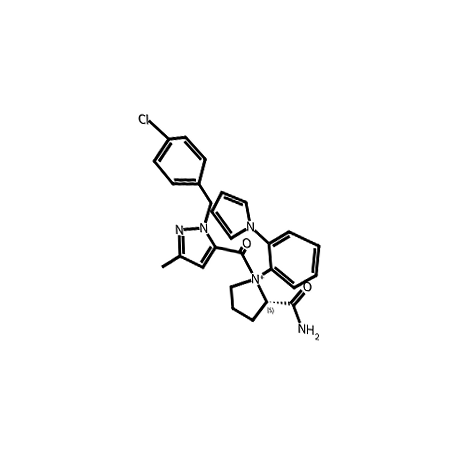 Cc1cc(C(=O)[N+]2(c3ccccc3-n3cccc3)CCC[C@H]2C(N)=O)n(Cc2ccc(Cl)cc2)n1